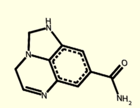 NC(=O)c1cc2c3c(c1)NCN3CC=N2